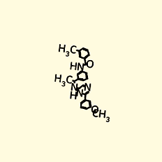 COc1cccc(-c2cncc(NC(C)c3cccc(NC(=O)c4cccc(C)c4)c3)n2)c1